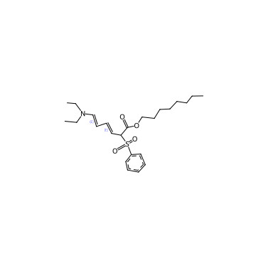 CCCCCCCCOC(=O)C(/C=C/C=C/N(CC)CC)S(=O)(=O)c1ccccc1